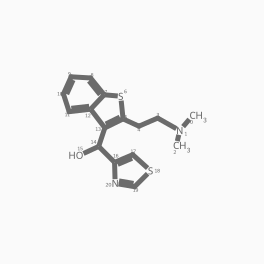 CN(C)CCc1sc2ccccc2c1C(O)c1cscn1